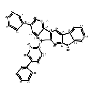 c1ccc(-c2cnc(-n3c4cc5sc6ccccc6c5cc4c4ncc(-c5ccccc5)cc43)nc2)cc1